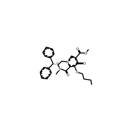 CCCCOc1c2n(cc(C(=O)OC)c1=O)C[C@@H](C(c1ccccc1)c1ccccc1)N(C)C2=O